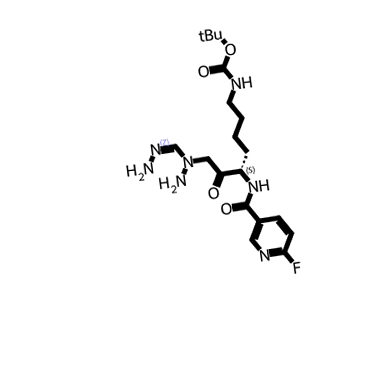 CC(C)(C)OC(=O)NCCCC[C@H](NC(=O)c1ccc(F)nc1)C(=O)CN(N)/C=N\N